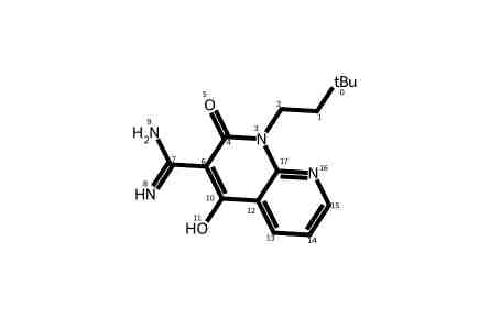 CC(C)(C)CCn1c(=O)c(C(=N)N)c(O)c2cccnc21